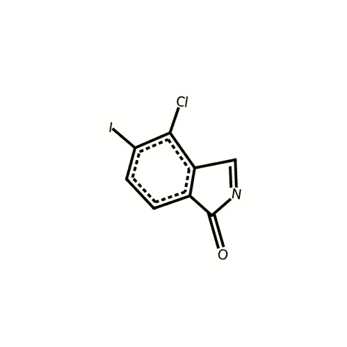 O=C1N=Cc2c1ccc(I)c2Cl